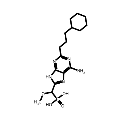 COC(c1nc2c(N)nc(CCCC3CCCCC3)nc2[nH]1)P(=O)(O)O